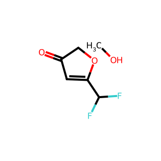 CO.O=C1C=C(C(F)F)OC1